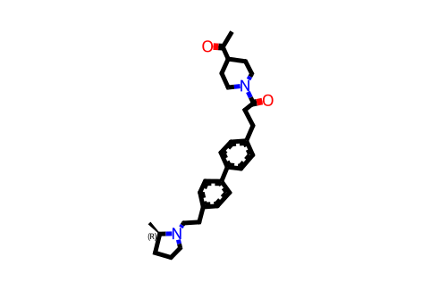 CC(=O)C1CCN(C(=O)CCc2ccc(-c3ccc(CCN4CCC[C@H]4C)cc3)cc2)CC1